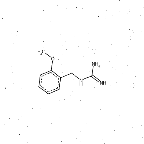 N=C(N)NCc1ccccc1OC(F)(F)F